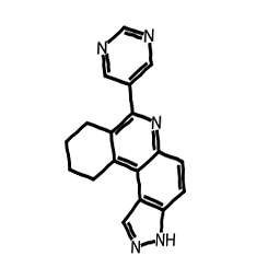 c1ncc(-c2nc3ccc4[nH]ncc4c3c3c2CCCC3)cn1